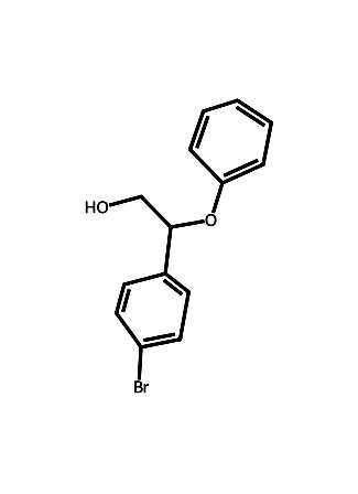 OCC(Oc1ccccc1)c1ccc(Br)cc1